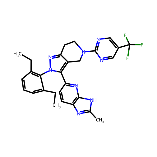 CCc1cccc(CC)c1-n1nc2c(c1-c1ccc3nc(C)[nH]c3n1)CN(c1ncc(C(F)(F)F)cn1)CC2